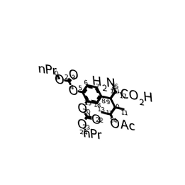 CCCOC(=O)Oc1ccc(C(C(C)C(C)OC(C)=O)[C@H](N)C(=O)O)cc1OC(=O)OCCC